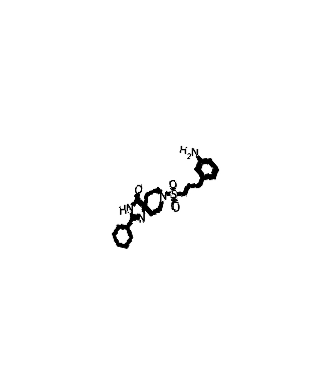 Nc1cccc(CCCS(=O)(=O)N2CCC3(CC2)N=C(C2CCCCC2)NC3=O)c1